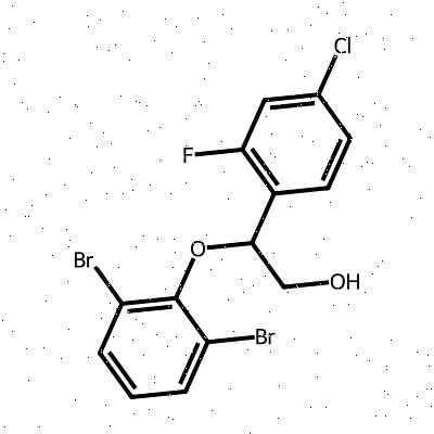 OCC(Oc1c(Br)cccc1Br)c1ccc(Cl)cc1F